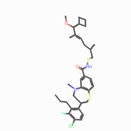 CCCc1c(C2CSc3ccc(C(=O)NSCC(C)C/C=C(\C)C(OC)C4CCC4)cc3N(C)C2)ccc(Cl)c1F